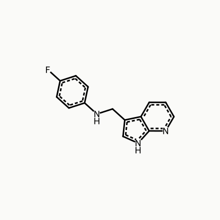 Fc1ccc(NCc2c[nH]c3ncccc23)cc1